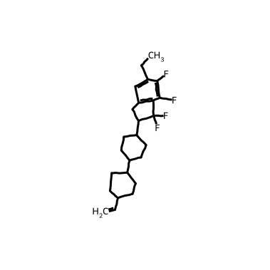 C=CC1CCC(C2CCC(C3Cc4cc(CC)c(F)c(F)c4C3(F)F)CC2)CC1